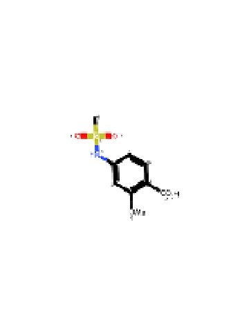 COc1cc(NS(C)(=O)=O)ccc1C(=O)O